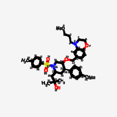 COCCCN1CCOc2ccc(COC3CN(S(=O)(=O)c4ccc(C)cc4)C(CC(C)(C)O)C[C@@H]3c3ccc(OC)cc3)cc21